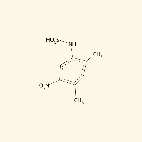 Cc1cc(C)c([N+](=O)[O-])cc1NS(=O)(=O)O